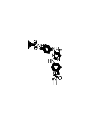 CNS(=O)(=O)Cc1ccc(Nc2ncc(F)c(Nc3ccc(CNS(=O)(=O)C4CC4)cc3)n2)cc1